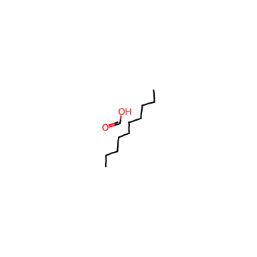 CCCCCCCCCC.O=CO